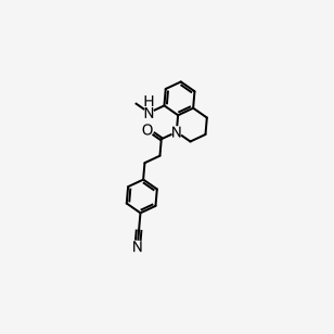 CNc1cccc2c1N(C(=O)CCc1ccc(C#N)cc1)CCC2